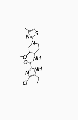 CCc1[nH]c(C(=O)NC2CCN(c3nc(C)cs3)C[C@@H]2OC)nc1Cl